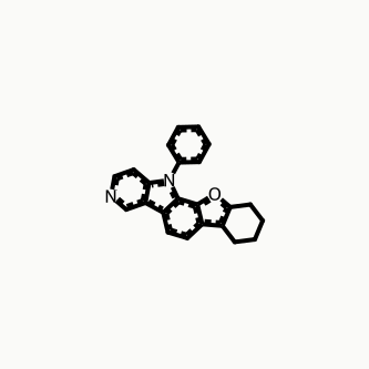 c1ccc(-n2c3ccncc3c3ccc4c5c(oc4c32)CCCC5)cc1